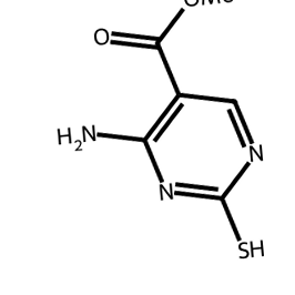 COC(=O)c1cnc(S)nc1N